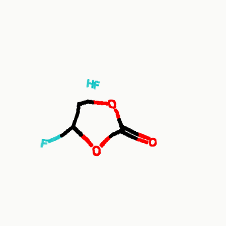 F.O=C1OCC(F)O1